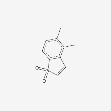 Cc1ccc2c(c1C)C=CS2(=O)=O